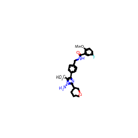 COc1ccc(F)cc1C(=O)NCc1ccc(-c2nc(C3CCCOC3)n(N)c2C(=O)O)cc1